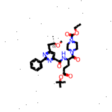 CCOC(=O)N1CCN(C(=O)C(CCC(=O)OC(C)(C)C)NC(=O)c2cc(C[C@H](C)OC)nc(-c3ccccc3)n2)CC1